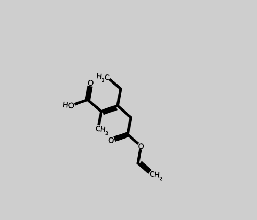 C=COC(=O)CC(CC)=C(C)C(=O)O